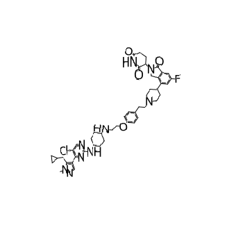 Cn1ncc(-c2nc(NC3CCC(NCCOc4ccc(CCN5CCC(c6cc(F)cc7c6CN(C6CCC(=O)NC6=O)C7=O)CC5)cc4)CC3)ncc2Cl)c1CC1CC1